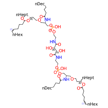 CCCCCC/C=C\CCCC(=O)O[C@H](CCCCCCC)CCOCC(COP(=O)(O)OCCNC(=O)[C@@H](O)[C@@H](O)C(=O)NCCOP(=O)(O)OCC(COCC[C@@H](CCCCCCC)OC(=O)CCC/C=C\CCCCCC)NC(=O)CCCCCCCCCCCCC)NC(=O)CCCCCCCCCCCCC